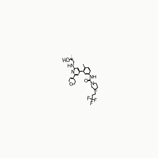 Cc1ccc(NC(=O)N2CC[C@@H](CCC(F)(F)F)C2)cc1-c1cc(NC[C@@H](C)O)nc(C2=CCOCC2)c1